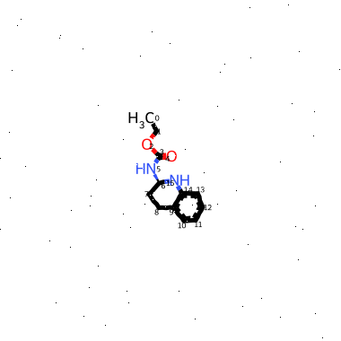 CCOC(=O)N[C@@H]1CCc2ccccc2N1